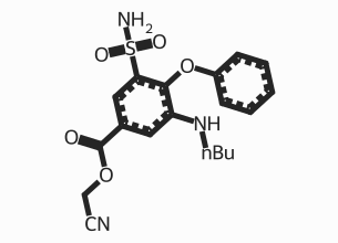 CCCCNc1cc(C(=O)OCC#N)cc(S(N)(=O)=O)c1Oc1ccccc1